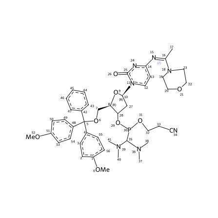 COc1ccc(C(OC[C@H]2O[C@@H](n3ccc(/N=C(/C)N4CCOCC4)nc3=O)CC2OP(OCCC#N)C(N(C)C)N(C)C)(c2ccccc2)c2ccc(OC)cc2)cc1